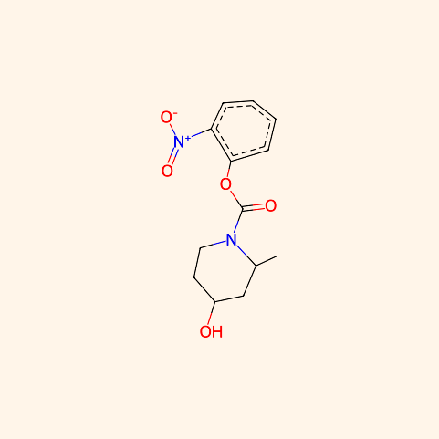 CC1CC(O)CCN1C(=O)Oc1ccccc1[N+](=O)[O-]